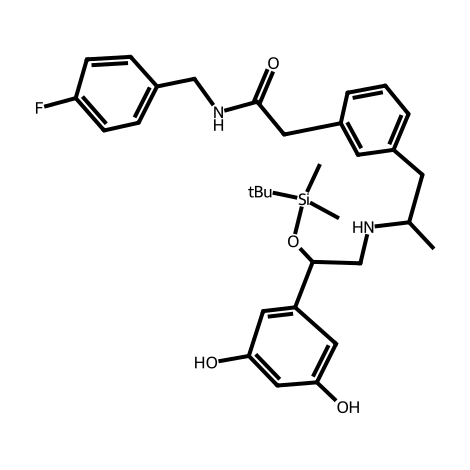 CC(Cc1cccc(CC(=O)NCc2ccc(F)cc2)c1)NCC(O[Si](C)(C)C(C)(C)C)c1cc(O)cc(O)c1